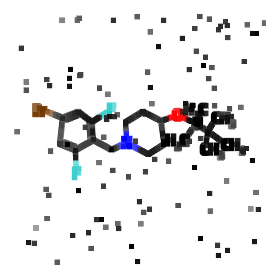 CC(C)(C)[Si](C)(C)OC1CCN(Cc2c(F)cc(Br)cc2F)CC1